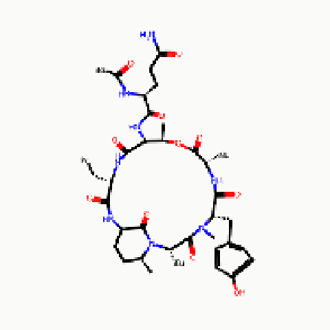 CCC(C)C(=O)N[C@@H](CCC(N)=O)C(=O)N[C@@H]1C(=O)N[C@@H](CC(C)C)C(=O)NC2CC[C@H](C)N(C2=O)[C@@H](C(C)CC)C(=O)N(C)[C@@H](Cc2ccc(O)cc2)C(=O)N[C@@H](C(C)CC)C(=O)O[C@@H]1C